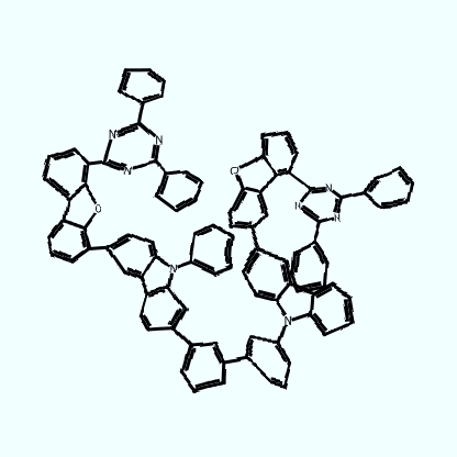 c1ccc(-c2nc(-c3ccccc3)nc(-c3cccc4c3oc3c(-c5ccc6c(c5)c5ccc(-c7cccc(-c8cccc(-n9c%10ccccc%10c%10cc(-c%11ccc%12oc%13cccc(-c%14nc(-c%15ccccc%15)nc(-c%15ccccc%15)n%14)c%13c%12c%11)ccc%109)c8)c7)cc5n6-c5ccccc5)cccc34)n2)cc1